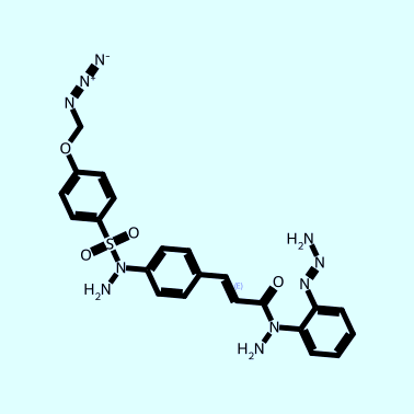 [N-]=[N+]=NCOc1ccc(S(=O)(=O)N(N)c2ccc(/C=C/C(=O)N(N)c3ccccc3N=NN)cc2)cc1